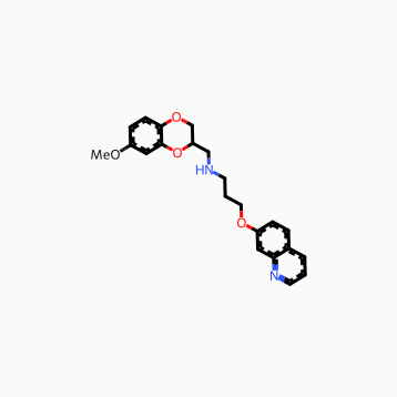 COc1ccc2c(c1)OC(CNCCCOc1ccc3cccnc3c1)CO2